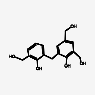 OCc1cc(CO)c(O)c(Cc2cccc(CO)c2O)c1